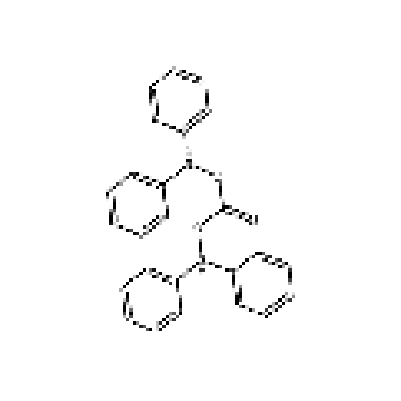 O=C(O[SH](c1ccccc1)c1ccccc1)O[SH](c1ccccc1)c1ccccc1